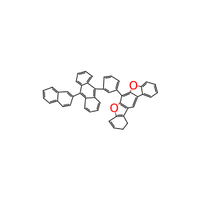 C1=Cc2oc3c(-c4cccc(-c5c6ccccc6c(-c6ccc7ccccc7c6)c6ccccc56)c4)c4oc5ccccc5c4cc3c2CC1